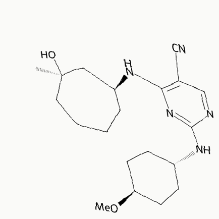 CO[C@H]1CC[C@H](Nc2ncc(C#N)c(N[C@H]3CCCC[C@@](C)(O)C3)n2)CC1